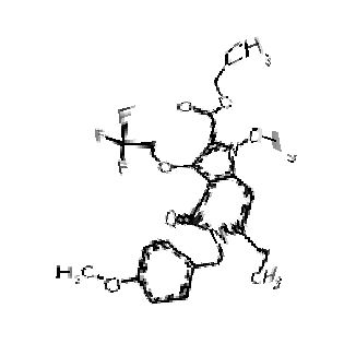 CCOC(=O)c1c(OCC(F)(F)F)c2c(=O)n(Cc3ccc(OC)cc3)c(CC)cc2n1C